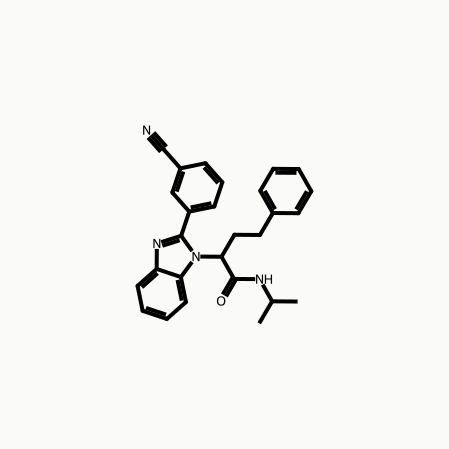 CC(C)NC(=O)C(CCc1ccccc1)n1c(-c2cccc(C#N)c2)nc2ccccc21